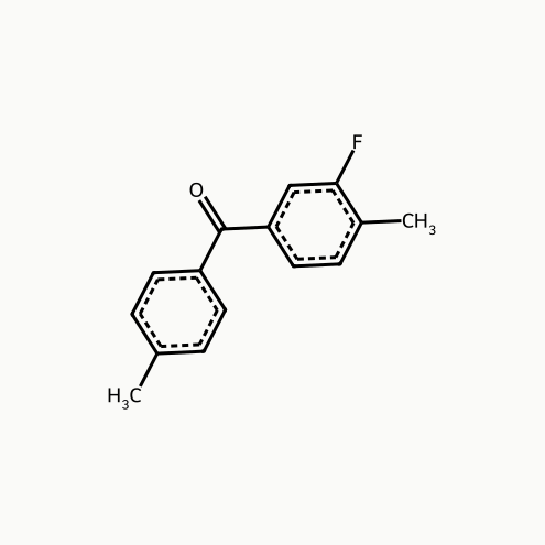 Cc1ccc(C(=O)c2ccc(C)c(F)c2)cc1